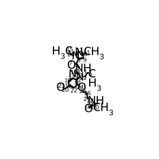 CCCn1c(NC(=O)c2cc(C)nn2CC)nc2cc(C=O)cc(OCCCNC(C)=O)c21